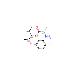 Cc1ccc(O[C@@H](C)[C@@H](OC(=O)[C@H](C)N)C(C)C)cc1